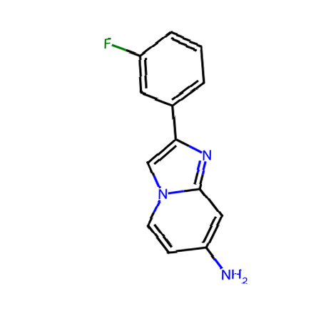 Nc1ccn2cc(-c3cccc(F)c3)nc2c1